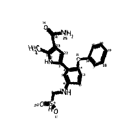 Cc1[nH]c(-c2cc(NC[SH](=O)=O)ccc2Oc2ccccc2)cc1C(N)=O